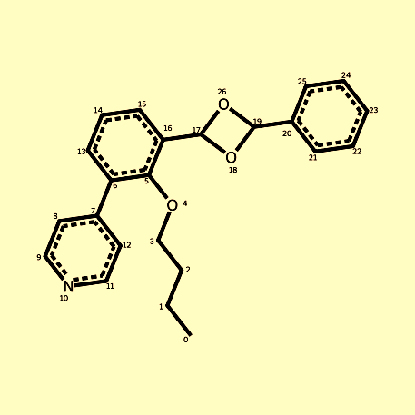 CCCCOc1c(-c2ccncc2)cccc1C1OC(c2ccccc2)O1